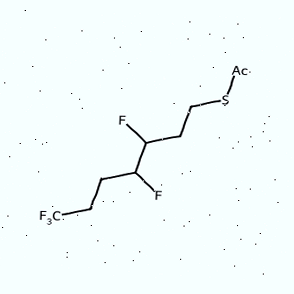 CC(=O)SCCC(F)C(F)CCC(F)(F)F